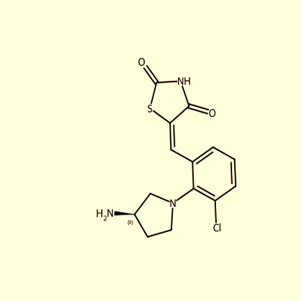 N[C@@H]1CCN(c2c(Cl)cccc2C=C2SC(=O)NC2=O)C1